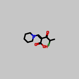 CC(F)C(=O)C(=CN1CCCCC1)C(=O)O